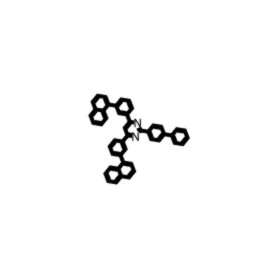 c1ccc(-c2ccc(-c3nc(-c4cccc(-c5cccc6ccccc56)c4)cc(-c4cccc(-c5cccc6ccccc56)c4)n3)cc2)cc1